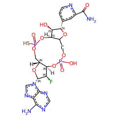 NC(=O)c1cc([C@@H]2OC3COP(=O)(O)O[C@H]4[C@@H](F)[C@H](n5cnc6c(N)ncnc65)O[C@@H]4COP(=O)(S)O[C@H]3[C@H]2O)ccn1